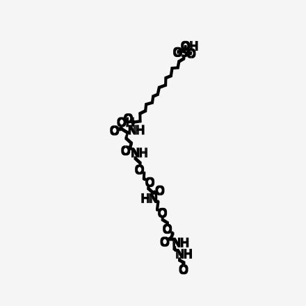 O=CCNCNC(=O)COCCOCCNC(=O)COCCOCCNC(=O)CC[C@H](NC(=O)CCCCCCCCCCCCCCCS(=O)(=O)O)C(=O)O